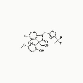 COc1ccc(O)c(C2(CO)C(=O)N(Cc3ccc(C(F)(F)F)o3)c3ccc(F)c(I)c32)n1